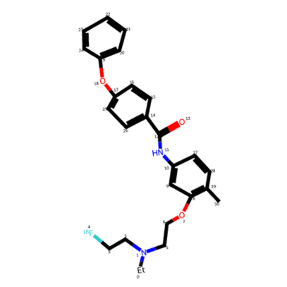 CCN(CC[18F])CCOc1cc(NC(=O)c2ccc(Oc3ccccc3)cc2)ccc1C